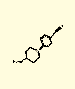 N#Cc1ccc(N2CCC(CO)CC2)cc1